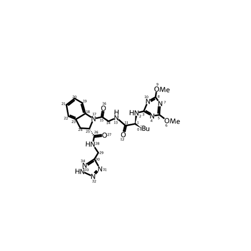 CC[C@H](C)[C@H](Nc1nc(OC)nc(OC)n1)C(=O)NCC(=O)N1c2ccccc2C[C@H]1C(=O)NCc1nn[nH]n1